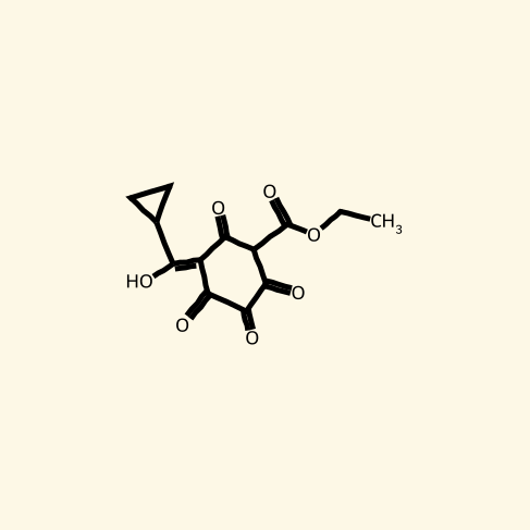 CCOC(=O)C1C(=O)C(=O)C(=O)C(=C(O)C2CC2)C1=O